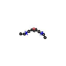 Cn1c(-c2ccc(-c3ccc4c(c3)C(C)(C)c3cc(-c5ccc(-c6nc7cc(-c8ccccc8)ccc7n6C)cc5)ccc3O4)cc2)nc2cc(-c3ccccc3)ccc21